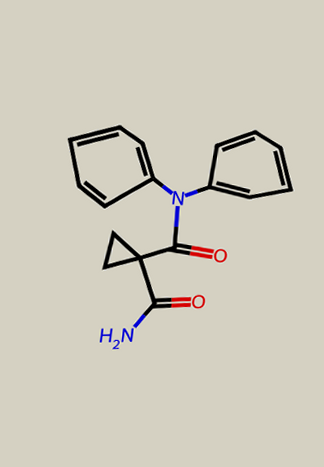 NC(=O)C1(C(=O)N(c2ccccc2)c2ccccc2)CC1